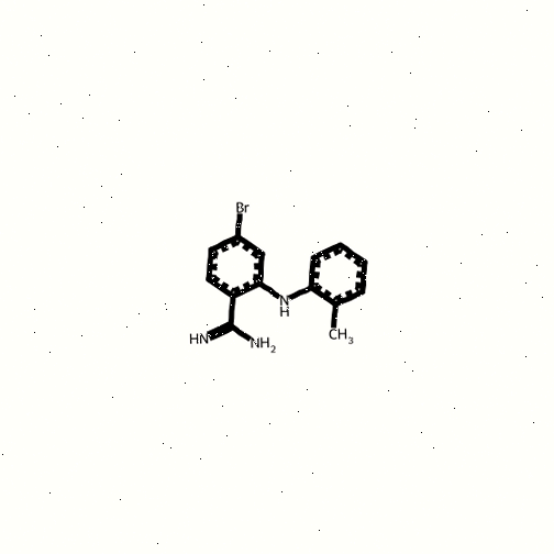 Cc1ccccc1Nc1cc(Br)ccc1C(=N)N